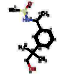 C[C@H](N[S@+]([O-])C(C)(C)C)c1cccc(C(C)(C)CO)c1